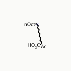 CCCCCCCC/C=C\CCCCCCCCC(C(C)=O)C(=O)O